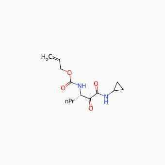 C=CCOC(=O)N[C@@H](CCC)C(=O)C(=O)NC1CC1